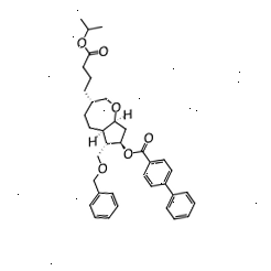 CC(C)OC(=O)CCC[C@H]1CC[C@@H]2[C@@H](COCc3ccccc3)[C@H](OC(=O)c3ccc(-c4ccccc4)cc3)C[C@@H]2OC1